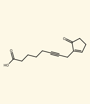 O=C(O)CCCCC#CCC1=CCCC1=O